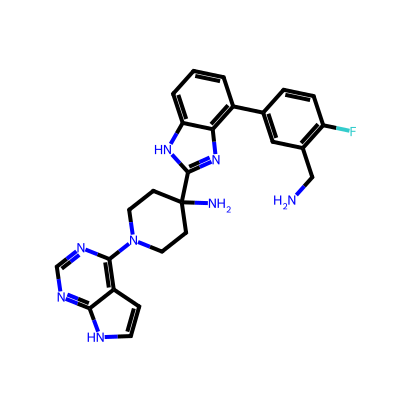 NCc1cc(-c2cccc3[nH]c(C4(N)CCN(c5ncnc6[nH]ccc56)CC4)nc23)ccc1F